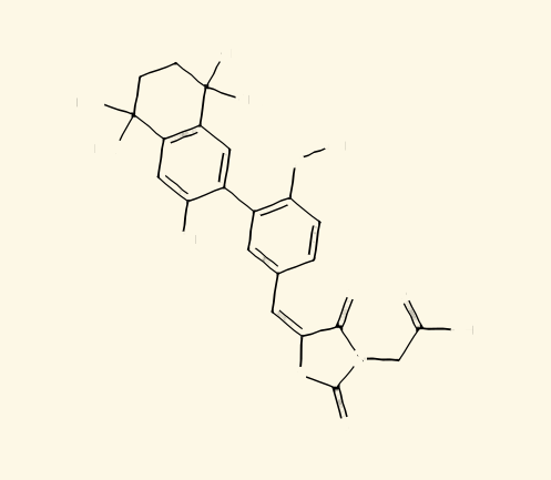 COc1ccc(/C=C2/SC(=S)N(CC(=O)O)C2=O)cc1-c1cc2c(cc1C)C(C)(C)CCC2(C)C